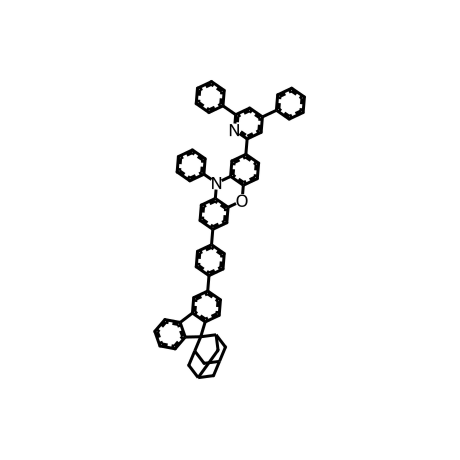 c1ccc(-c2cc(-c3ccccc3)nc(-c3ccc4c(c3)N(c3ccccc3)c3ccc(-c5ccc(-c6ccc7c(c6)-c6ccccc6C76C7CC8CC(C7)CC6C8)cc5)cc3O4)c2)cc1